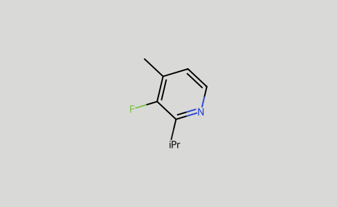 Cc1ccnc(C(C)C)c1F